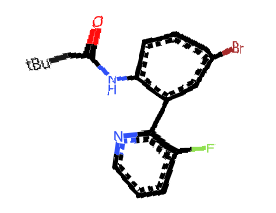 CC(C)(C)C(=O)Nc1ccc(Br)cc1-c1ncccc1F